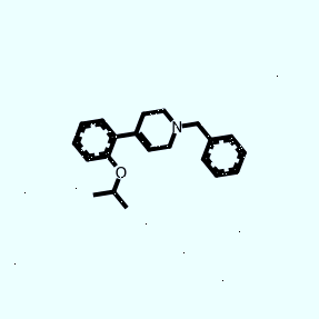 CC(C)Oc1ccccc1C1=CCN(Cc2ccccc2)CC1